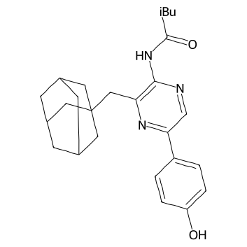 CCC(C)C(=O)Nc1ncc(-c2ccc(O)cc2)nc1CC12CC3CC(CC(C3)C1)C2